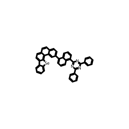 c1ccc(-c2nc(-c3ccccc3)nc(-c3cccc4c(-c5ccc6ccc7ccc8c9ccccc9[se]c8c7c6c5)cccc34)n2)cc1